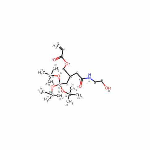 C=CC(=O)OCC(CC(=O)NCCO)C[Si](O[Si](C)(C)C)(O[Si](C)(C)C)O[Si](C)(C)C